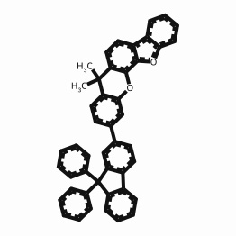 CC1(C)c2ccc(-c3ccc4c(c3)C(c3ccccc3)(c3ccccc3)c3ccccc3-4)cc2Oc2c1ccc1c2oc2ccccc21